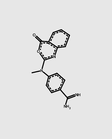 CN(c1ccc(C(=N)N)cc1)c1nc2ccccc2c(=O)o1